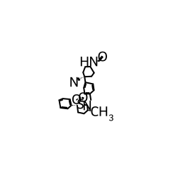 C[C@H]1CC[C@H](c2ccccc2)S(=O)(=O)N1Cc1ccc([C@]2(C#N)CC[C@@H](NC=O)CC2)cc1